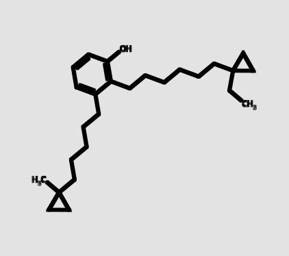 CCC1(CCCCCCc2c(O)cccc2CCCCCC2(C)CC2)CC1